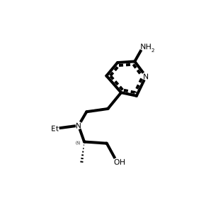 CCN(CCc1ccc(N)nc1)[C@@H](C)CO